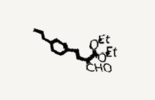 C=CCC1CCC(CCC(C=O)C(OCC)OCC)CC1